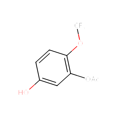 CC(=O)Oc1cc(O)ccc1OC(F)(F)F